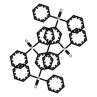 O=P(c1ccccc1)(c1ccccc1)c1ccc(-c2ccc(P(=O)(c3ccccc3)c3ccccc3)cc2P(=O)(c2ccccc2)c2ccccc2)c(P(=O)(c2ccccc2)c2ccccc2)c1